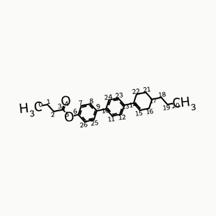 CCCC(=O)Oc1ccc(-c2ccc(C3=CCC(CCC)CC3)cc2)cc1